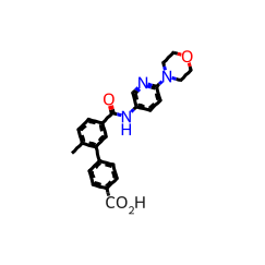 Cc1ccc(C(=O)Nc2ccc(N3CCOCC3)nc2)cc1-c1ccc(C(=O)O)cc1